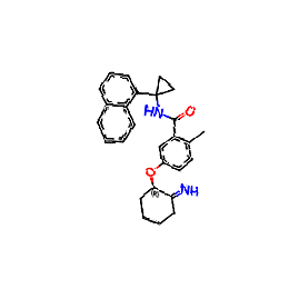 Cc1ccc(O[C@@H]2CCCCC2=N)cc1C(=O)NC1(c2cccc3ccccc23)CC1